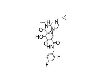 CCN1C(=O)c2c(O)c(=O)c(C(=O)NCc3ccc(F)cc3F)cn2N2CCN(CC3CC3)C[C@@H]12